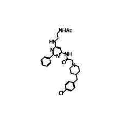 CC(=O)NCCNc1cc(NC(=O)CN2CCC(Cc3ccc(Cl)cc3)CC2)nc(-c2ccccc2)n1